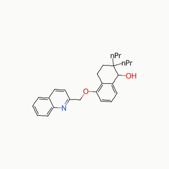 CCCC1(CCC)CCc2c(OCc3ccc4ccccc4n3)cccc2C1O